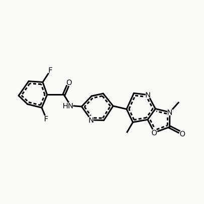 Cc1c(-c2ccc(NC(=O)c3c(F)cccc3F)nc2)cnc2c1oc(=O)n2C